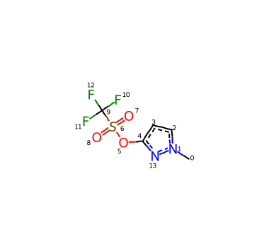 Cn1ccc(OS(=O)(=O)C(F)(F)F)n1